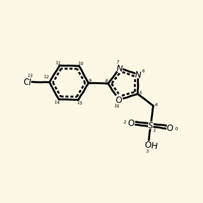 O=S(=O)(O)Cc1nnc(-c2ccc(Cl)cc2)o1